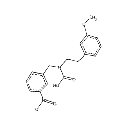 COc1cccc(CCN(Cc2cccc([N+](=O)[O-])c2)C(=O)O)c1